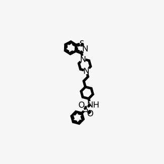 O=S(=O)(NC1CCC(CCN2CCN(c3nsc4ccccc34)CC2)CC1)c1ccccc1